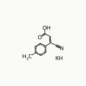 Cc1ccc(/C(C#N)=C\C(=O)O)cc1.[KH]